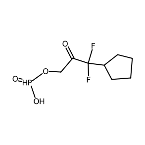 O=C(CO[PH](=O)O)C(F)(F)C1CCCC1